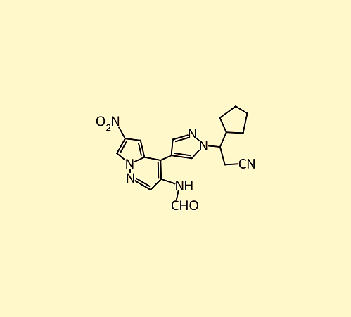 N#CCC(C1CCCC1)n1cc(-c2c(NC=O)cnn3cc([N+](=O)[O-])cc23)cn1